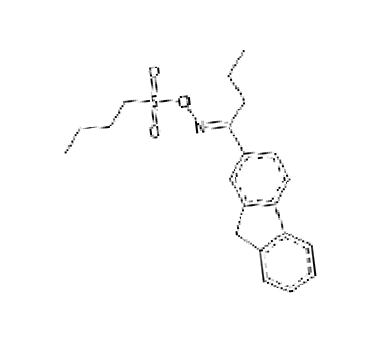 CCCCS(=O)(=O)ON=C(CCC)c1ccc2c(c1)Cc1ccccc1-2